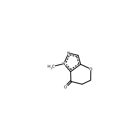 Cn1ncc2c1C(=O)CCO2